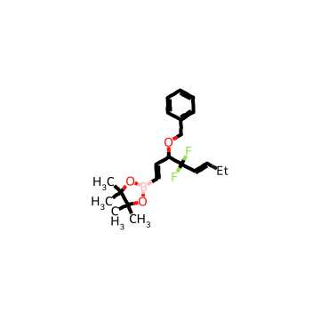 CCC=CC(F)(F)C(C=CB1OC(C)(C)C(C)(C)O1)OCc1ccccc1